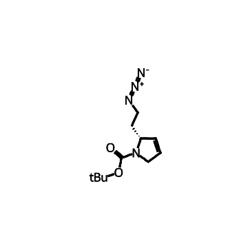 CC(C)(C)OC(=O)N1CC=C[C@H]1CCN=[N+]=[N-]